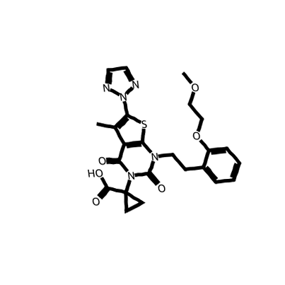 COCCOc1ccccc1CCn1c(=O)n(C2(C(=O)O)CC2)c(=O)c2c(C)c(-n3nccn3)sc21